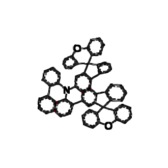 c1ccc(-c2ccccc2N(c2ccc3c(c2)C2(c4ccccc4Oc4ccccc42)c2ccccc2-3)c2ccccc2-c2ccc3c(c2)C2(c4ccccc4Oc4ccccc42)c2ccccc2-3)cc1